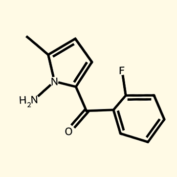 Cc1ccc(C(=O)c2ccccc2F)n1N